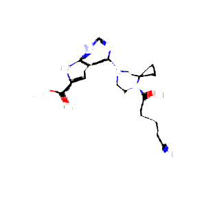 COC(=O)c1cc2c(N3CCN(C(=O)CCCC#N)C4(CC4)C3)ncnc2[nH]1